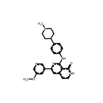 COc1cncc(-c2cc3cc[nH]c(=O)c3c(Nc3ccc(C4CCN(C)CC4)cc3)n2)c1